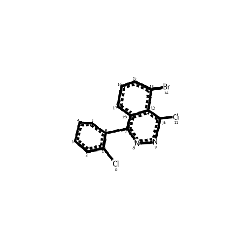 Clc1ccccc1-c1nnc(Cl)c2c(Br)cccc12